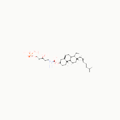 CC(C)CCC[C@H](C)[C@H]1CCC2C3CC=C4C[C@@H](OC(=O)NCCC(O)CCOP(=O)(O)O)CCC4(C)C3CCC21C